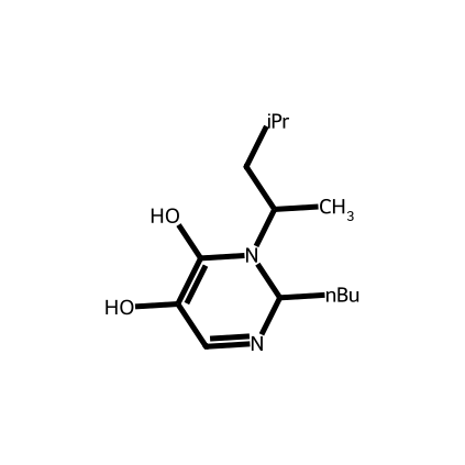 CCCCC1N=CC(O)=C(O)N1C(C)CC(C)C